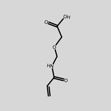 C=CC(=O)NCOCC(=O)O